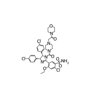 CCOc1cc(Cl)c(S(N)(=O)=O)cc1C1=N[C@@H](c2ccc(Cl)cc2)[C@@H](c2ccc(Cl)cc2)N1C(=O)N1CCN(CC(=O)N2CCOCC2)CC1